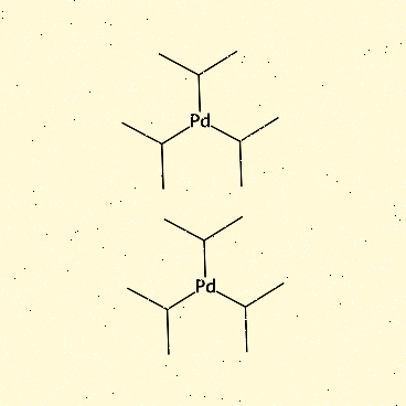 C[CH](C)[Pd]([CH](C)C)[CH](C)C.C[CH](C)[Pd]([CH](C)C)[CH](C)C